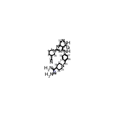 N#CC1CCCN(c2nc(Nc3ccc(CN4CCC(/C(N)=N/N)CC4)cc3)c3c(=O)[nH]ncc3n2)C1